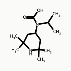 CC(C)N(C(=O)O)C1CC(C)(C)NC(C)(C)C1